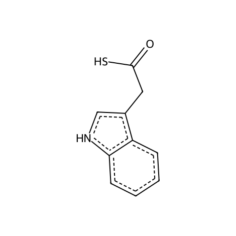 O=C(S)Cc1c[nH]c2ccccc12